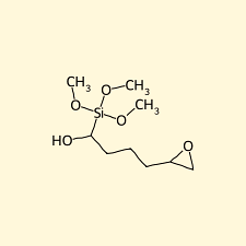 CO[Si](OC)(OC)C(O)CCCC1CO1